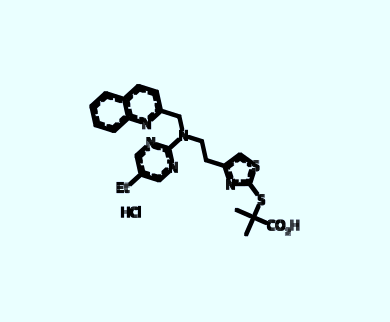 CCc1cnc(N(CCc2csc(SC(C)(C)C(=O)O)n2)Cc2ccc3ccccc3n2)nc1.Cl